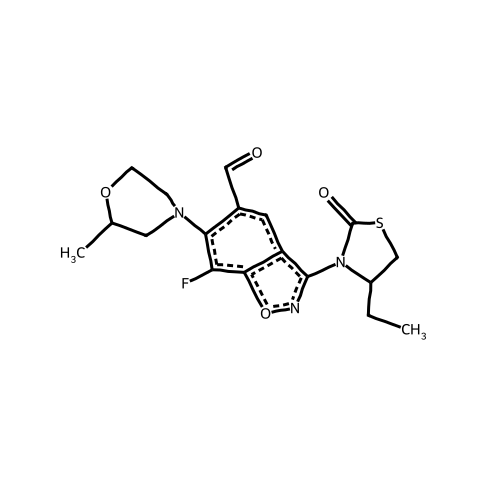 CCC1CSC(=O)N1c1noc2c(F)c(N3CCOC(C)C3)c(C=O)cc12